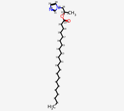 CCCCCCCCCCCCCCCCCCCCCC(=O)OC(C)Cn1ccnc1